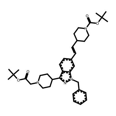 CC(C)(C)OC(=O)CN1CCC(c2nn(Cc3ccccc3)c3cc(/C=C/C4CCN(C(=O)OC(C)(C)C)CC4)ccc23)CC1